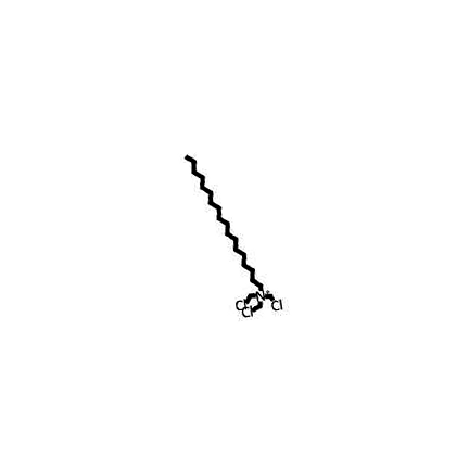 CCCCCCCCCCCCCCCCCC[N+](CCl)(CCl)CCl